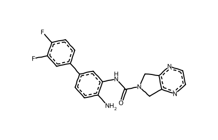 Nc1ccc(-c2ccc(F)c(F)c2)cc1NC(=O)N1Cc2nccnc2C1